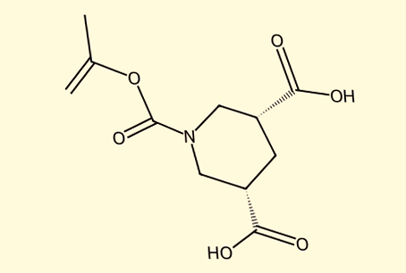 C=C(C)OC(=O)N1C[C@H](C(=O)O)C[C@H](C(=O)O)C1